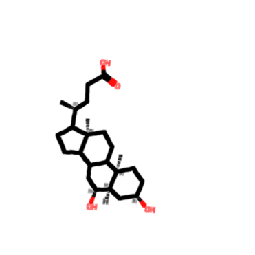 C[C@@H](CCC(=O)O)C1CCC2C3C[C@H](O)[C@@H]4C[C@H](O)CC[C@]4(C)C3CC[C@@]21C